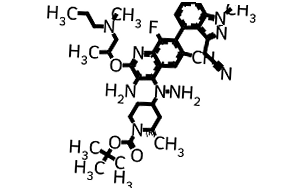 CCCN(C)CC(C)Oc1nc2c(F)c(-c3cccc4c3c(CC#N)nn4C)c(C)cc2c(N(N)C2CCN(C(=O)OC(C)(C)C)[C@H](C)C2)c1N